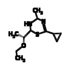 CCO[C@H](C)C1NC(C)N=C(C2CC2)S1